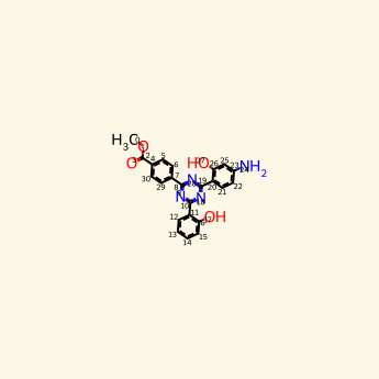 COC(=O)c1ccc(-c2nc(-c3ccccc3O)nc(-c3ccc(N)cc3O)n2)cc1